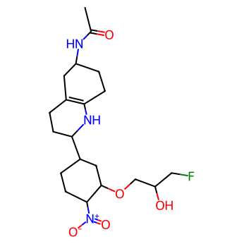 CC(=O)NC1CCC2=C(CCC(C3CCC([N+](=O)[O-])C(OCC(O)CF)C3)N2)C1